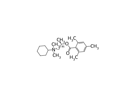 Cc1cc(C)c(C(=O)O[C@H](C)C[N+](C)(C)C2CCCCC2)c(C)c1